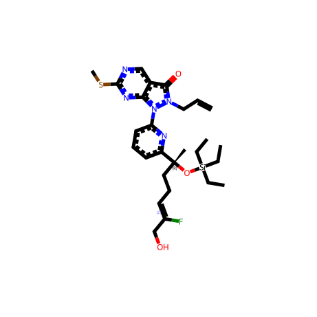 C=CCn1c(=O)c2cnc(SC)nc2n1-c1cccc([C@@](C)(CC/C=C(\F)CO)O[Si](CC)(CC)CC)n1